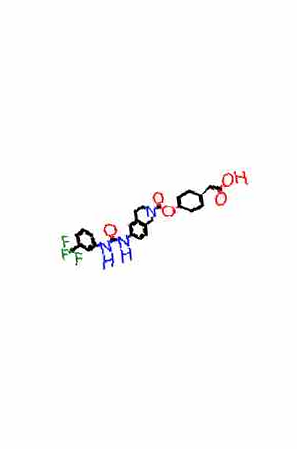 O=C(O)C[C@H]1CC[C@H](OC(=O)N2CCc3cc(NC(=O)Nc4cccc(C(F)(F)F)c4)ccc3C2)CC1